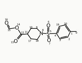 Cc1ccc(S(=O)(=O)N2CCC(C(=O)OC=O)CC2)cc1